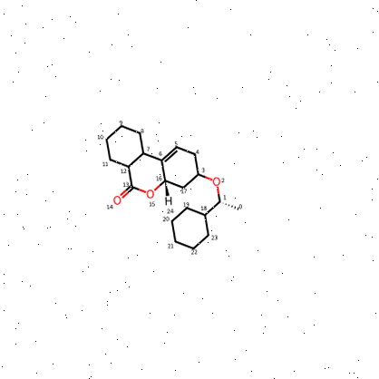 C[C@@H](OC1CC=C2C3CCCCC3C(=O)O[C@H]2C1)C1CCCCC1